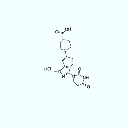 Cl.Cn1nc(N2CCC(=O)NC2=O)c2ccc(N3CCC(C(=O)O)CC3)cc21